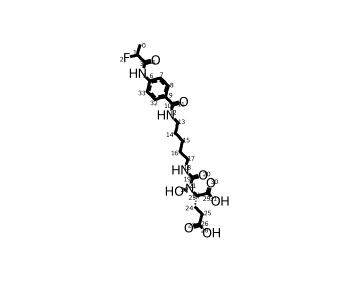 CC(F)C(=O)Nc1ccc(C(=O)NCCCCCNC(=O)N(O)[C@@H](CCC(=O)O)C(=O)O)cc1